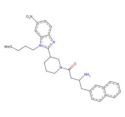 COCCCn1c(C2CCCN(C(=O)CC(N)Cc3ccc4ccccc4c3)C2)nc2ccc([N+](=O)[O-])cc21